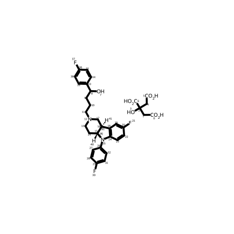 O=C(O)CC(O)(CC(=O)O)C(=O)O.OC(CCCN1CC[C@@H]2[C@@H](C1)c1cc(F)ccc1N2c1ccc(F)cc1)c1ccc(F)cc1